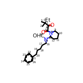 CCC(C)(C)C(=O)C(=O)N1CCCC[C@H]1N(C=O)CCCCCc1ccccc1